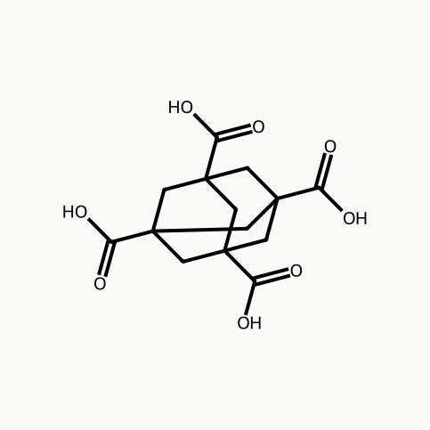 O=C(O)C12CC3(C(=O)O)CC(C(=O)O)(C1)CC(C(=O)O)(C2)C3